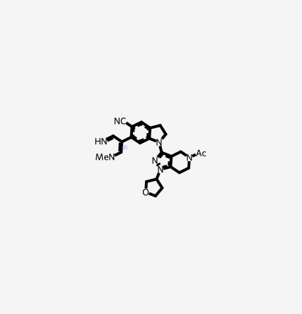 CN/C=C(\C=N)c1cc2c(cc1C#N)CCN2c1nn(C2CCOC2)c2c1CN(C(C)=O)CC2